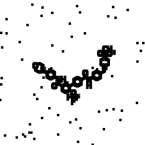 CS(=O)(=O)N1CCN(Cc2ccc(NC(=O)c3ccc(-c4cc(C(=O)Nc5ccc(N6CCOCC6)cc5)ccc4OC(F)(F)F)cc3)cc2)CC1